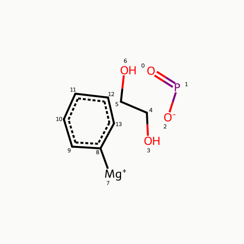 O=P[O-].OCCO.[Mg+][c]1ccccc1